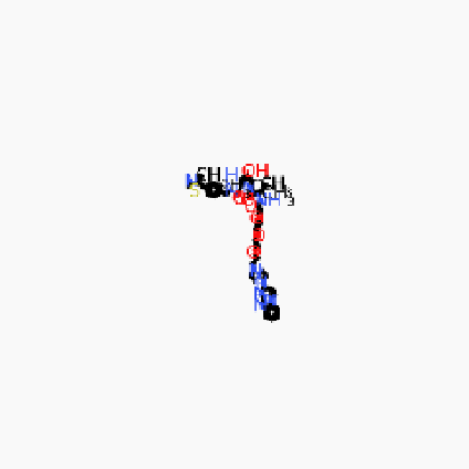 Cc1ncsc1-c1ccc(CNC(=O)[C@@H]2C[C@@H](O)CN2C(=O)[C@@H](NC(=O)COCCOCCOCCN2CCN(c3ccn4c(n3)nc3ccccc34)CC2)C(C)(C)C)cc1